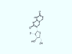 O=c1ccc2cn([C@@H]3O[C@H](CO)C(O)[C@@H]3F)c(=O)nc2[nH]1